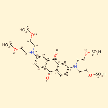 O=C1c2ccc(N(CCOS(=O)(=O)O)CCOS(=O)(=O)O)cc2C(=O)c2cc(N(CCOS(=O)(=O)O)CCOS(=O)(=O)O)ccc21